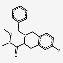 CON(C)C(=O)C1Cc2cc(F)ccc2CN1Cc1ccccc1